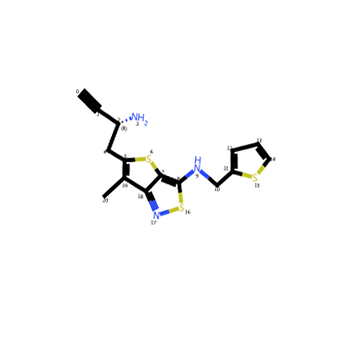 C#C[C@H](N)Cc1sc2c(NCc3cccs3)snc2c1C